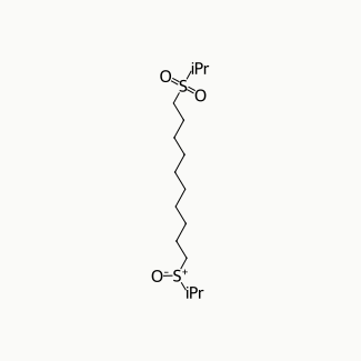 CC(C)[S+]([O-])CCCCCCCCCCS(=O)(=O)C(C)C